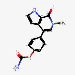 Cn1cc(-c2ccc(OC(N)=O)cc2)c2cc[nH]c2c1=O